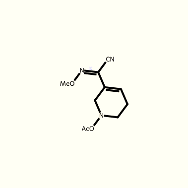 CO/N=C(/C#N)C1=CCCN(OC(C)=O)C1